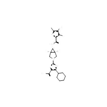 Cc1[nH]c(C(=O)N[C@@H]2[C@@H]3CN(c4nc(C5CCCCC5)c(C(=O)O)s4)C[C@@H]32)c(Cl)c1Cl